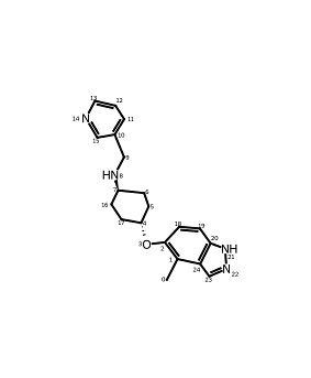 Cc1c(O[C@H]2CC[C@H](NCc3cccnc3)CC2)ccc2[nH]ncc12